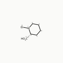 CCN1CCCC[C@@H]1C(=O)O